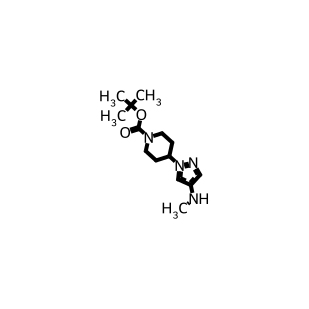 CNc1cnn(C2CCN(C(=O)OC(C)(C)C)CC2)c1